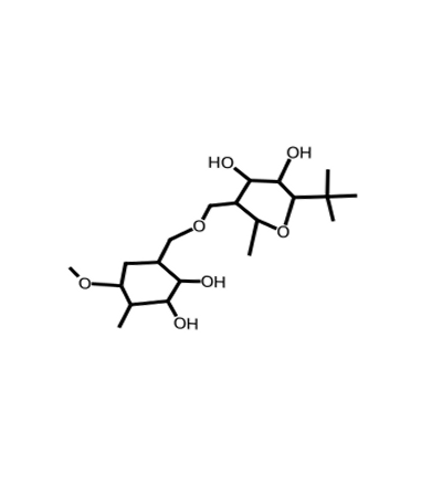 COC1CC(COCC2C(C)OC(C(C)(C)C)C(O)C2O)C(O)C(O)C1C